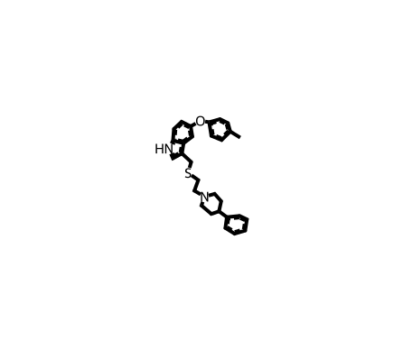 Cc1ccc(Oc2ccc3[nH]cc(CSCCN4CCC(c5ccccc5)CC4)c3c2)cc1